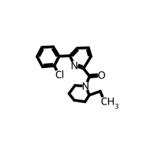 CCC1CCCCN1C(=O)c1cccc(-c2ccccc2Cl)n1